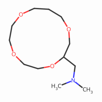 CN(C)CC1COCCCOCCOCCO1